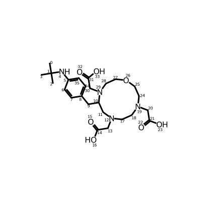 CC(C)(C)Nc1ccc(CC2CN(CC(=O)O)CCN(CC(=O)O)CCOCCN2CC(=O)O)cc1